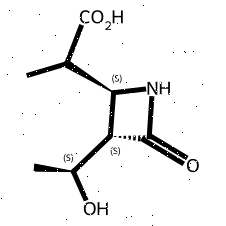 CC(C(=O)O)[C@H]1NC(=O)[C@@H]1[C@H](C)O